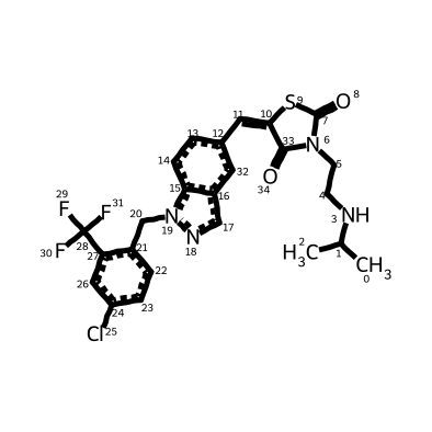 CC(C)NCCN1C(=O)SC(=Cc2ccc3c(cnn3Cc3ccc(Cl)cc3C(F)(F)F)c2)C1=O